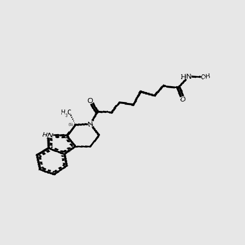 C[C@H]1c2[nH]c3ccccc3c2CCN1C(=O)CCCCCCC(=O)NO